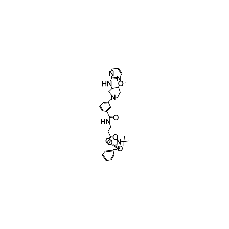 CO[C@@H]1CCN(c2cccc(C(=O)NCCC(=O)ON(C(C)(C)C)S(=O)(=O)c3ccccc3)c2)C[C@H]1Nc1ncccn1